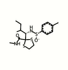 CCC(C)[C@H](N[S@@+]([O-])c1ccc(C)cc1)C1(C(=O)NC)SCCS1